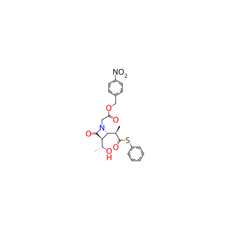 C[C@@H](O)[C@H]1C(=O)N(CC(=O)OCc2ccc([N+](=O)[O-])cc2)[C@@H]1[C@@H](C)C(=O)Sc1ccccc1